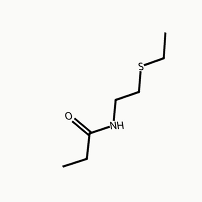 CCSCCNC(=O)CC